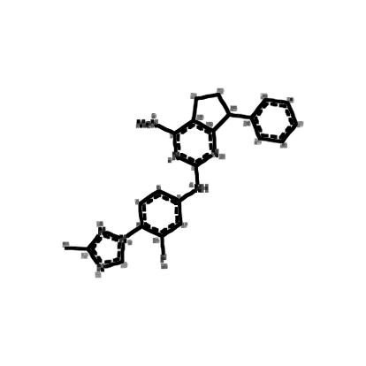 CNc1nc(Nc2ccc(-n3cnc(C)n3)c(F)c2)nc2c1CCC2c1ccccc1